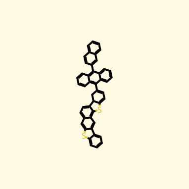 C1=C(c2c3ccccc3c(-c3ccc4ccccc4c3)c3ccccc23)CC2C(=C1)Sc1c2ccc2cc3sc4ccccc4c3cc12